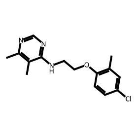 Cc1cc(Cl)ccc1OCCNc1ncnc(C)c1C